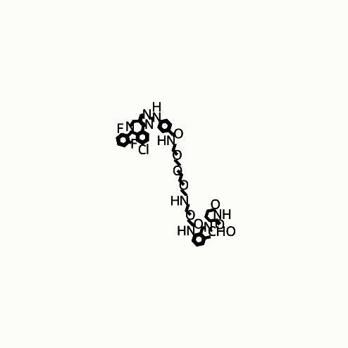 Cc1cccc(NC(=O)COCCNCCOCCOCCOCCNC(=O)c2ccc(Nc3ncc4c(n3)-c3ccc(Cl)cc3C(c3c(F)cccc3F)=NC4)cc2)c1CN(C=O)C1CCC(=O)NC1=O